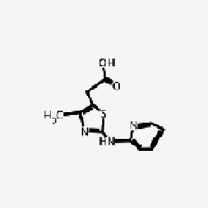 Cc1nc(Nc2ccccn2)sc1CC(=O)O